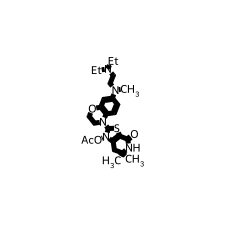 CCN(CC)CCN(C)c1ccc2c(c1)OCCN2C1SC2=C(CC(C)(C)NC2=O)N1OC(C)=O